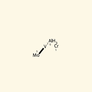 [AlH3].[Cr].[V][Mo]